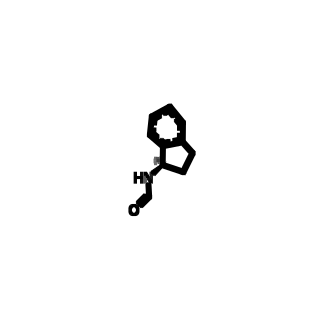 O=CN[C@@H]1CCc2ccccc21